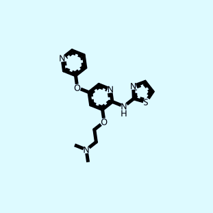 CN(C)CCOc1cc(Oc2cccnc2)cnc1Nc1nccs1